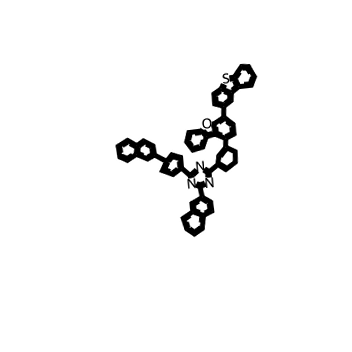 C1=C(c2nc(-c3ccc(-c4ccc5ccccc5c4)cc3)nc(-c3ccc4ccccc4c3)n2)C=C(c2ccc(-c3ccc4sc5ccccc5c4c3)c3oc4ccccc4c23)CC1